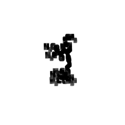 CON(C)C(=O)c1nc(SC)ncc1C#CCCO[Si](C)(C)C(C)(C)C